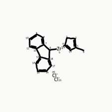 CC1=CC[C]([Zr+2][CH]2c3ccccc3-c3ccccc32)=C1.[Cl-].[Cl-]